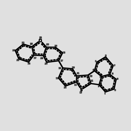 c1cc2c3c(cccc3c1)-c1c-2sc2ccc(-c3ccc4oc5ccccc5c4c3)cc12